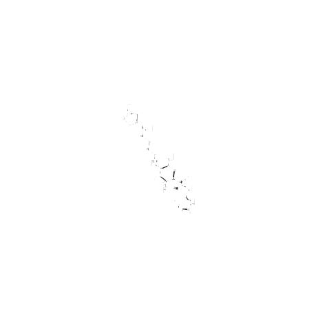 O=S(=O)(Nc1ncns1)c1cc(Cl)c(NCCCCN[C@@H]2CCNC2)cc1F